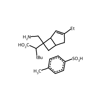 CCC1=CC2C(C1)CC2(CN)C(C(=O)O)C(C)(C)C.Cc1ccc(S(=O)(=O)O)cc1